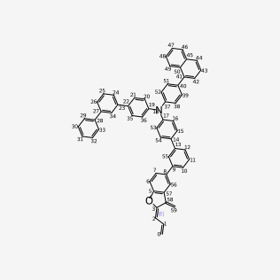 C=C/C=c1/oc2ccc(-c3cccc(-c4ccc(N(c5ccc(-c6cccc(-c7ccccc7)c6)cc5)c5ccc(-c6cccc7ccccc67)cc5)cc4)c3)cc2c1=C